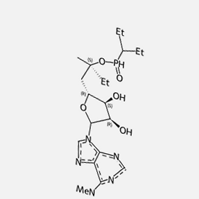 CCC(CC)[PH](=O)O[C@@](C)(CC)C[C@H]1OC(n2cnc3c(NC)ncnc32)[C@H](O)[C@@H]1O